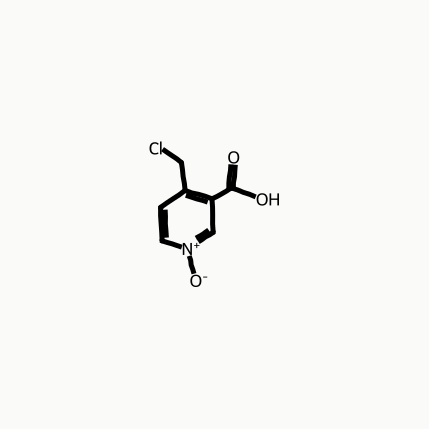 O=C(O)c1c[n+]([O-])ccc1CCl